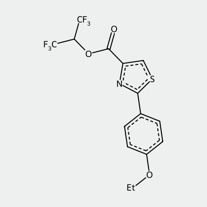 CCOc1ccc(-c2nc(C(=O)OC(C(F)(F)F)C(F)(F)F)cs2)cc1